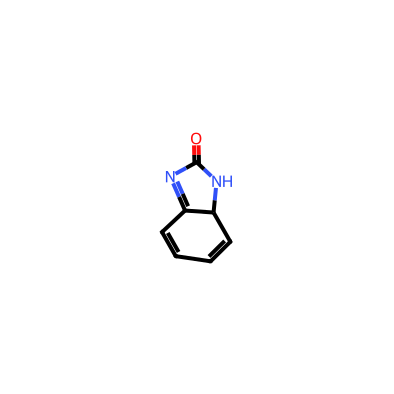 O=C1N=C2C=CC=CC2N1